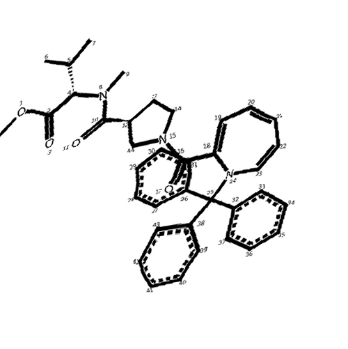 COC(=O)[C@H](C(C)C)N(C)C(=O)[C@H]1CCN(C(=O)C2=CC=CC=CN2C(c2ccccc2)(c2ccccc2)c2ccccc2)C1